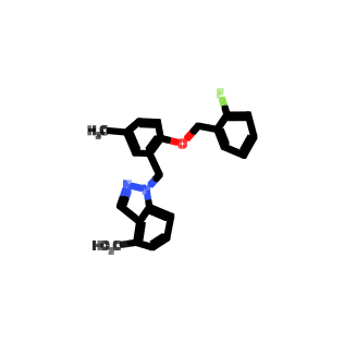 Cc1ccc(OCc2ccccc2F)c(Cn2ncc3c(C(=O)O)cccc32)c1